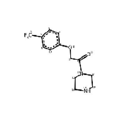 O=C(COc1ccc(C(F)(F)F)cc1)N1CCNCC1